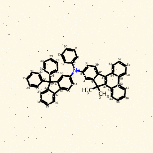 CC1(C)c2cc(N(c3ccccc3)c3ccc4c(c3)C(c3ccccc3)(c3ccccc3)c3ccccc3-4)ccc2-c2c1c1ccccc1c1ccccc21